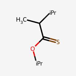 CC(C)OC(=S)C(C)C(C)C